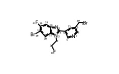 FCCn1c(-c2cncc(CBr)c2)nc2cc(F)c(Br)cc21